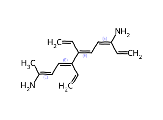 C=C\C(N)=C/C=C(C=C)/C(C=C)=C/C=C(\C)N